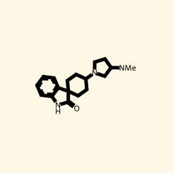 CNC1CCN(C2CCC3(CC2)C(=O)Nc2ccccc23)C1